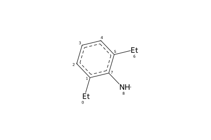 CCc1cccc(CC)c1[NH]